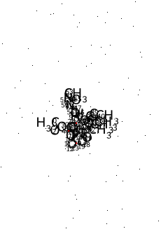 CC(=O)OCC(=O)OP(c1ccccc1)(c1ccccc1)(c1ccccc1)N1C(=O)[C@H]([C@@H](C)O[Si](C)(C)C(C)(C)C)[C@H]1CC(=O)c1ccc(N2CCN(C)C2=O)cc1